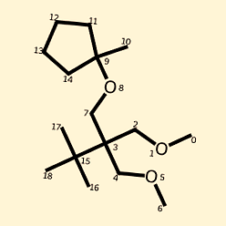 COCC(COC)(COC1(C)CCCC1)C(C)(C)C